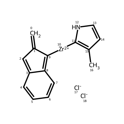 C=C1C=c2ccccc2=[C]1[Zr+2][c]1[nH]ccc1C.[Cl-].[Cl-]